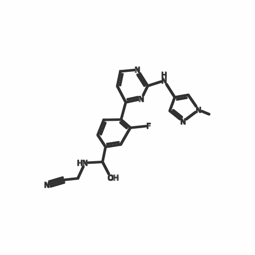 Cn1cc(Nc2nccc(-c3ccc(C(O)NCC#N)cc3F)n2)cn1